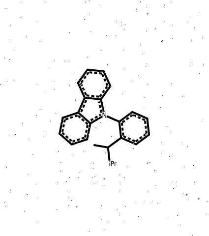 CC(C)C(C)c1ccccc1-n1c2ccccc2c2ccccc21